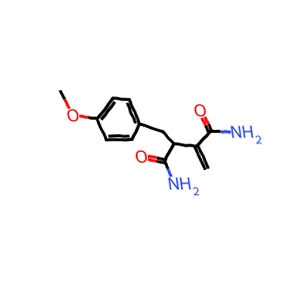 C=C(C(N)=O)C(Cc1ccc(OC)cc1)C(N)=O